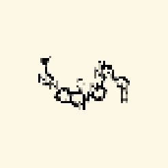 O=c1c2cc(-n3cnc(C4CC4)c3)ccc2cnn1-c1cccc(-c2nncn2C2CCNC2)n1